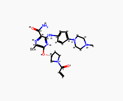 C=CC(=O)N1CC[C@@H](Oc2nc(Nc3ccc(N4CCN(C)CC4)cc3)c(C(N)=O)nc2CC)C1